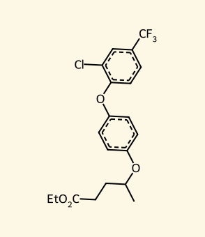 CCOC(=O)CCC(C)Oc1ccc(Oc2ccc(C(F)(F)F)cc2Cl)cc1